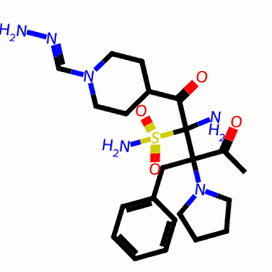 CC(=O)C(Cc1ccccc1)(N1CCCC1)C(N)(C(=O)C1CCN(C=NN)CC1)S(N)(=O)=O